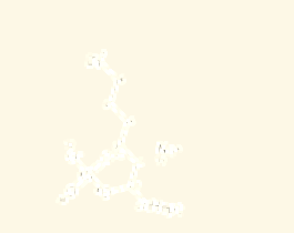 CCCCCCCC(CCCCCC(C)C)OS(=O)(=O)[O-].[Na+]